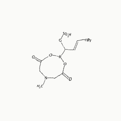 CCC/C=C/C(OS(=O)(=O)O)B1OC(=O)CN(C)CC(=O)O1